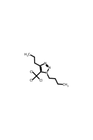 CCCCn1nnc(CCC)c1C(Cl)(Cl)Cl